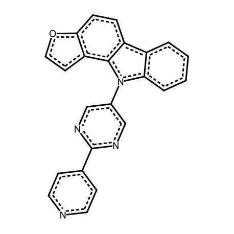 c1ccc2c(c1)c1ccc3occc3c1n2-c1cnc(-c2ccncc2)nc1